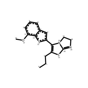 CCCC1=C(c2cc3cccc(OC)c3s2)N2CCN=C2S1